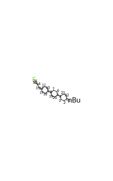 CCCCC1CCC(C2CCC(C3CCC(CCCF)CC3)CC2)CC1